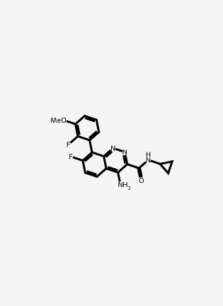 COc1cccc(-c2c(F)ccc3c(N)c(C(=O)NC4CC4)nnc23)c1F